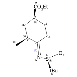 CCOC(=O)[C@H]1CC/C(=N\[S@@+]([O-])C(C)(C)C)[C@@H](C)C1